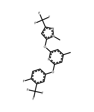 Cc1cc(Oc2ccc(F)c(C(F)(F)F)c2)nc(Oc2cc(C(F)(F)F)nn2C)c1